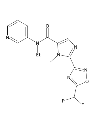 CCN(C(=O)c1cnc(-c2noc(C(F)F)n2)n1C)c1cccnc1